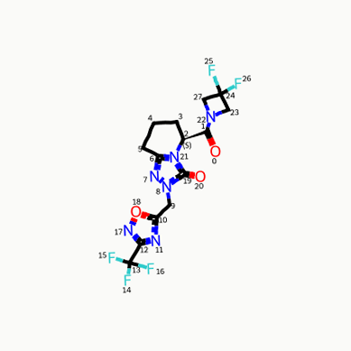 O=C([C@@H]1CCCc2nn(Cc3nc(C(F)(F)F)no3)c(=O)n21)N1CC(F)(F)C1